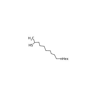 CCCCCCCCCCCCCCC(C)S